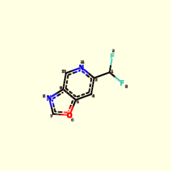 FC(F)c1cc2ocnc2cn1